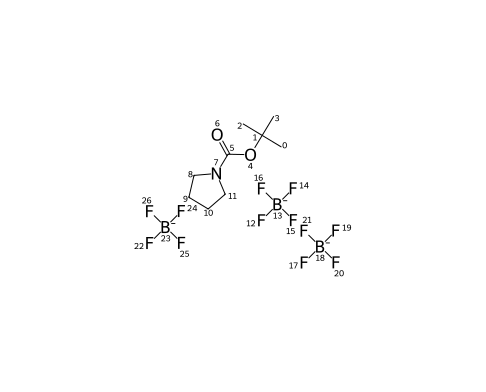 CC(C)(C)OC(=O)N1CCCC1.F[B-](F)(F)F.F[B-](F)(F)F.F[B-](F)(F)F